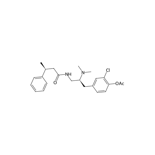 CC(=O)Oc1ccc(C[C@@H](CNC(=O)C[C@H](C)c2ccccc2)N(C)C)cc1Cl